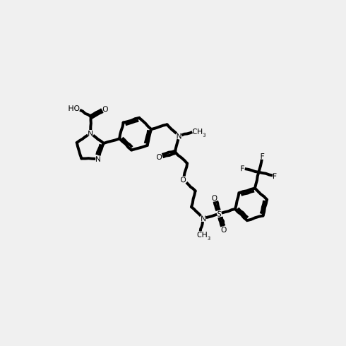 CN(Cc1ccc(C2=NCCN2C(=O)O)cc1)C(=O)COCCN(C)S(=O)(=O)c1cccc(C(F)(F)F)c1